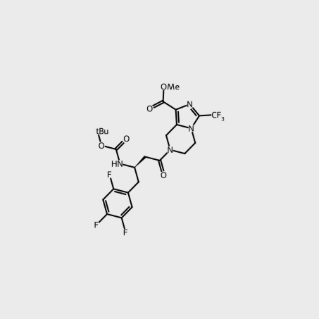 COC(=O)c1nc(C(F)(F)F)n2c1CN(C(=O)C[C@@H](Cc1cc(F)c(F)cc1F)NC(=O)OC(C)(C)C)CC2